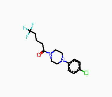 O=C(CCCC(F)(F)F)N1CCN(c2ccc(Cl)cc2)CC1